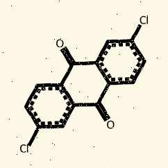 O=C1c2ccc(Cl)cc2C(=O)c2ccc(Cl)cc21